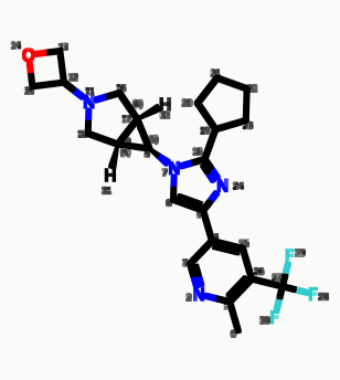 Cc1ncc(-c2cn([C@H]3[C@@H]4CN(C5COC5)C[C@@H]43)c(C3CCCC3)n2)cc1C(F)(F)F